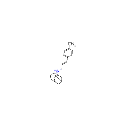 Cc1ccc(/C=C/CNC23CC4CC(CC(C4)C2)C3)cc1